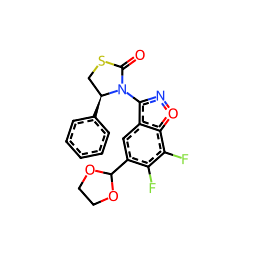 O=C1SC[C@H](c2ccccc2)N1c1noc2c(F)c(F)c(C3OCCO3)cc12